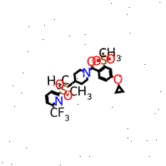 CC(C)(C1CCN(C(=O)c2ccc(OC3CC3)cc2S(C)(=O)=O)CC1)S(=O)(=O)c1cccc(C(F)(F)F)n1